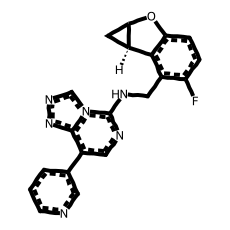 Fc1ccc2c(c1CNc1ncc(-c3cccnc3)c3nncn13)[C@H]1CC1O2